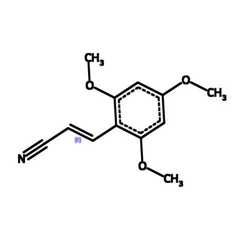 COc1cc(OC)c(/C=C/C#N)c(OC)c1